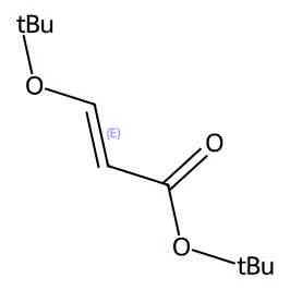 CC(C)(C)O/C=C/C(=O)OC(C)(C)C